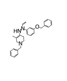 C=CN(NC1=C(C)CN(Cc2ccccc2)CC1)c1cccc(OCc2ccccc2)c1